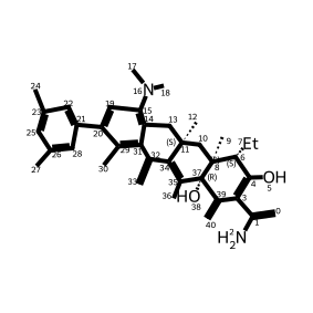 C=C(N)C1=C(O)[C@@H](CC)[C@]2(C)C[C@]3(C)Cc4c(N(C)C)cc(-c5cc(C)cc(C)c5)c(C)c4C(=C)C3=C(C)[C@]2(O)C1=C